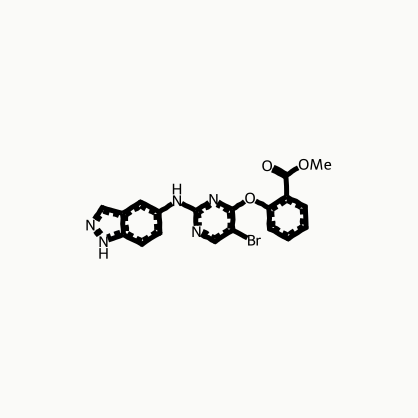 COC(=O)c1ccccc1Oc1nc(Nc2ccc3[nH]ncc3c2)ncc1Br